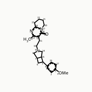 COc1ccc(C2CC3CN(CCc4c(C)nc5n(c4=O)CCCC5)CC32)cc1